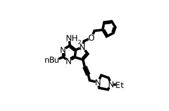 CCCCc1nc(N)c2c(n1)c(C#CCN1CCN(CC)CC1)cn2COCc1ccccc1